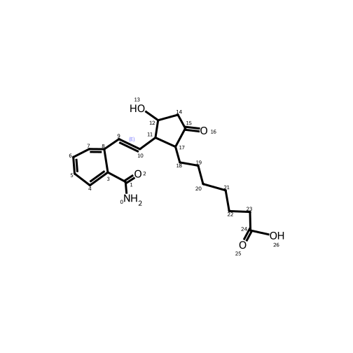 NC(=O)c1ccccc1/C=C/C1C(O)CC(=O)C1CCCCCCC(=O)O